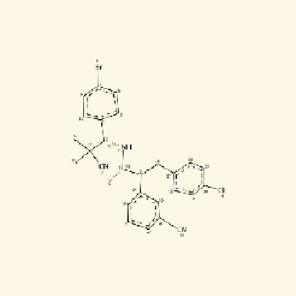 C[C@H](N[C@@H](c1ccc(Br)cc1)C(C)(C)C#N)C(Cc1ccc(Cl)cc1)c1cccc(C#N)c1